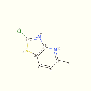 Cc1ccc2sc(Cl)nc2n1